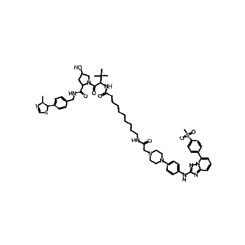 CC1N=CSC1c1ccc(CNC(=O)C2CC(O)CN2C(=O)C(NC(=O)CCCCCCCCCNC(=O)CN2CCN(c3ccc(Nc4nc5cccc(-c6ccc(S(C)(=O)=O)cc6)n5n4)cc3)CC2)C(C)(C)C)cc1